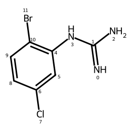 N=C(N)Nc1cc(Cl)ccc1Br